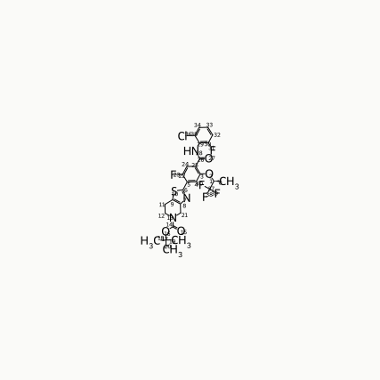 C[C@H](Oc1cc(-c2nc3c(s2)CCN(C(=O)OC(C)(C)C)C3)c(F)cc1C(=O)Nc1c(F)cccc1Cl)C(F)(F)F